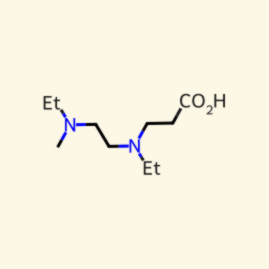 CCN(C)CCN(CC)CCC(=O)O